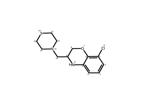 Clc1cccc2c1OCC(CN1CCSCC1)N2